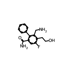 NCc1c(CCO)c(F)cc(C(N)=O)c1-c1ccccc1